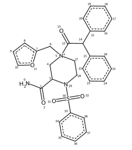 NC(=O)C1C[N+](Cc2ccco2)(C(=O)C(c2ccccc2)c2ccccc2)CCN1S(=O)(=O)c1ccccc1